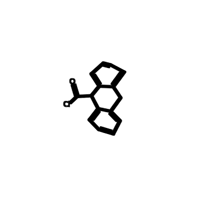 O=C(Cl)C1c2ccccc2Cc2ccccc21